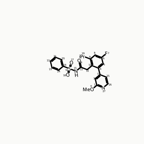 COc1cc(-c2cc(F)cc(C(C)C)c2CC(=O)NS(=O)(=O)c2ccccc2)ccn1